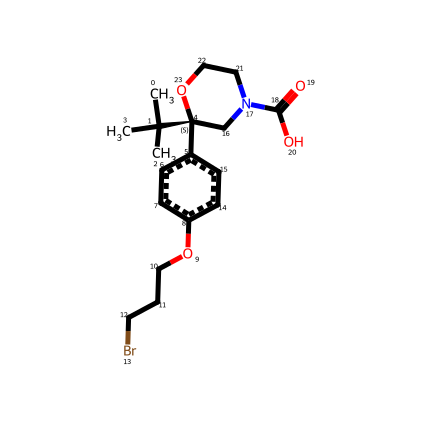 CC(C)(C)[C@]1(c2ccc(OCCCBr)cc2)CN(C(=O)O)CCO1